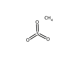 C.O=S(=O)=O